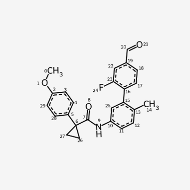 COc1ccc(C2(C(=O)Nc3ccc(C)c(-c4ccc(C=O)cc4F)c3)CC2)cc1